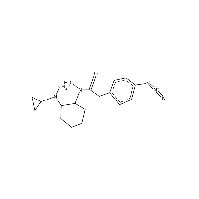 CN(C(=O)Cc1ccc(N=[N+]=[N-])cc1)C1CCCCC1N(C)C1CC1